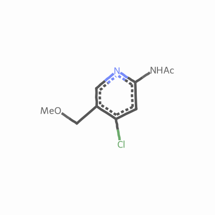 COCc1cnc(NC(C)=O)cc1Cl